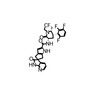 C[C@@H]1[C@H](c2c(F)ccc(F)c2F)C[C@H](NC(=O)c2cc3c([nH]2)CC2(C3)C(=O)Nc3ncccc32)C(=O)N1CC(F)(F)F